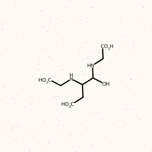 O=C(O)CNC(O)C(CC(=O)O)NCC(=O)O